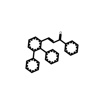 O=C(C=Cc1cccc(-c2ccccc2)c1-c1ccccc1)c1ccccc1